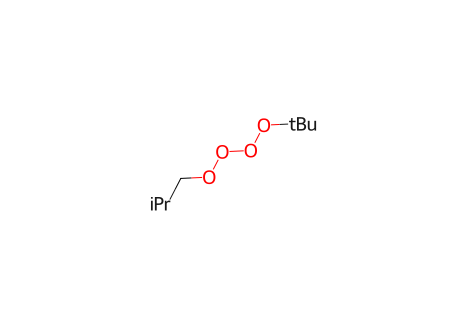 CC(C)COOOOC(C)(C)C